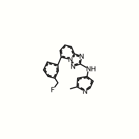 Cc1cc(Nc2nc3cccc(-c4cccc(CF)c4)n3n2)ccn1